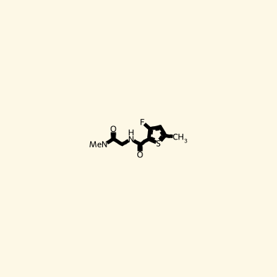 CNC(=O)CNC(=O)c1sc(C)cc1F